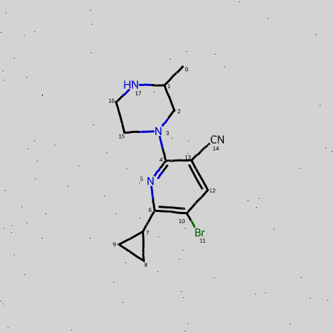 CC1CN(c2nc(C3CC3)c(Br)cc2C#N)CCN1